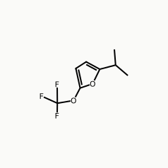 CC(C)c1ccc(OC(F)(F)F)o1